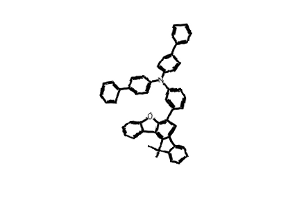 CC1(C)c2ccccc2-c2cc(-c3cccc(N(c4ccc(-c5ccccc5)cc4)c4ccc(-c5ccccc5)cc4)c3)c3oc4ccccc4c3c21